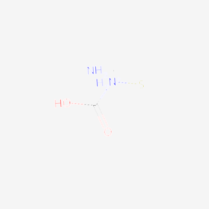 N.O=C(O)[NH2+][S-]